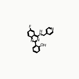 Oc1ccccc1-c1nc(NCc2ccncc2)c2cc(F)ccc2n1